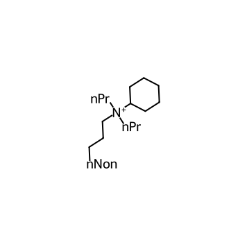 CCCCCCCCCCCC[N+](CCC)(CCC)C1CCCCC1